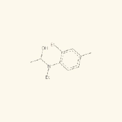 CCc1cc(C)ccc1N(CC)C(C)O